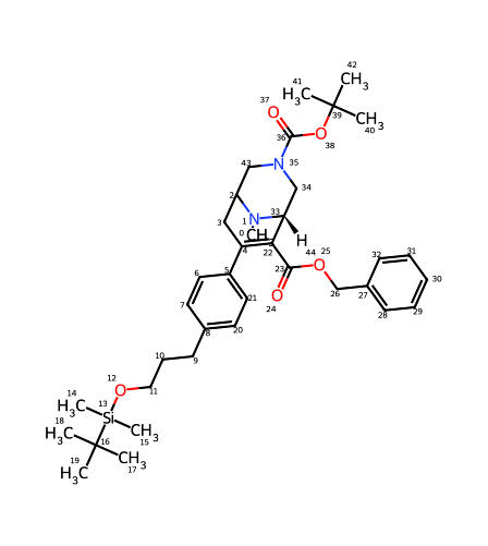 CN1C2CC(c3ccc(CCCO[Si](C)(C)C(C)(C)C)cc3)=C(C(=O)OCc3ccccc3)[C@H]1CN(C(=O)OC(C)(C)C)C2